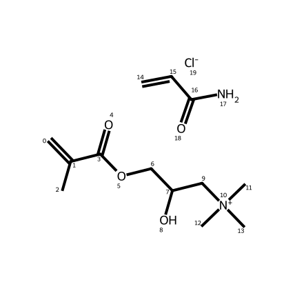 C=C(C)C(=O)OCC(O)C[N+](C)(C)C.C=CC(N)=O.[Cl-]